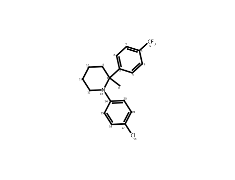 CC1(c2ccc(C(F)(F)F)cc2)C[CH]CCN1c1ccc(Cl)cc1